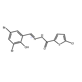 O=C(N/N=C/c1cc(Br)cc(Br)c1O)c1ccc(Cl)s1